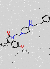 COc1ccc2c(C)cc(=O)n(CCN3CCC(NCCCc4ccccc4)CC3)c2c1